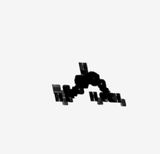 CN(C)CCOc1ccc2[nH]c3ccc(OCCN(C)C)cc3c2c1